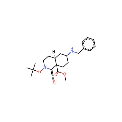 COC(=O)[C@]12CC[C@H](NCc3ccccc3)C[C@@H]1CCN(OC(C)(C)C)C2=C=O